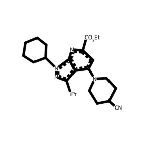 CCOC(=O)c1cc(N2CCC(C#N)CC2)c2c(C(C)C)nn(C3CCCCC3)c2n1